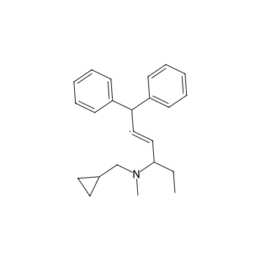 CCC(C=[C]C(c1ccccc1)c1ccccc1)N(C)CC1CC1